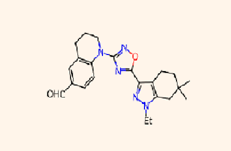 CCn1nc(-c2nc(N3CCCc4cc(C=O)ccc43)no2)c2c1CC(C)(C)CC2